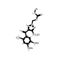 CCOC(=O)c1nn(COC(=O)OC(C)C)nc1C(=O)c1cc(OC)c(OC)cc1[N+](=O)[O-]